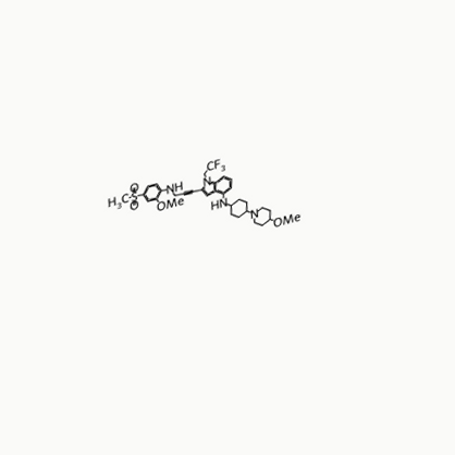 COc1cc(S(C)(=O)=O)ccc1NCC#Cc1cc2c(NC3CCC(N4CCC(OC)CC4)CC3)cccc2n1CC(F)(F)F